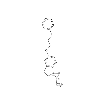 O=C(O)[C@@H]1C[C@]12CCc1cc(OCCCc3ccccc3)ccc12